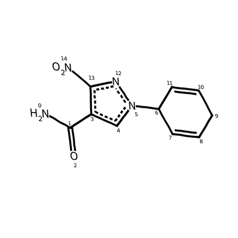 NC(=O)c1cn(C2C=CCC=C2)nc1[N+](=O)[O-]